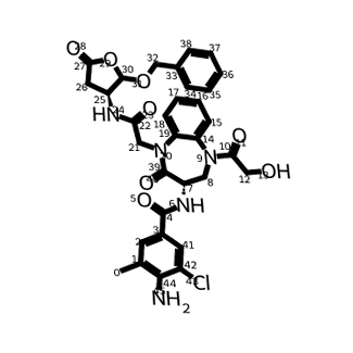 Cc1cc(C(=O)N[C@H]2CN(C(=O)CO)c3ccccc3N(CC(=O)N[C@H]3CC(=O)OC3OCc3ccccc3)C2=O)cc(Cl)c1N